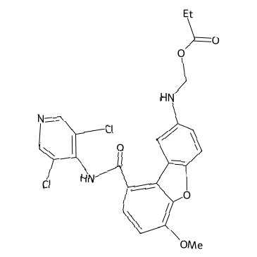 CCC(=O)OCNc1ccc2oc3c(OC)ccc(C(=O)Nc4c(Cl)cncc4Cl)c3c2c1